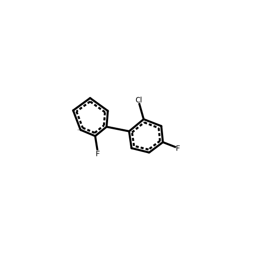 Fc1ccc(-c2ccc[c]c2F)c(Cl)c1